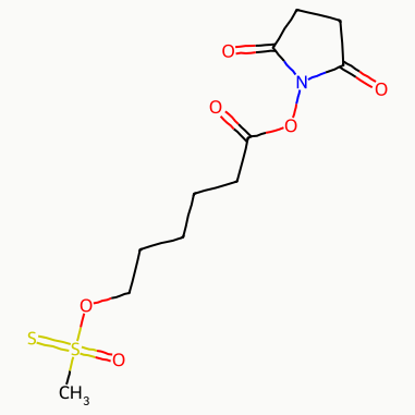 CS(=O)(=S)OCCCCCC(=O)ON1C(=O)CCC1=O